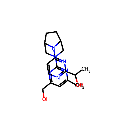 Cc1cc(CO)nc(N2CC3CCC(C2)N3c2ccnc(C(C)O)n2)n1